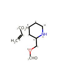 C=CC(=O)O.O=COCC1CCCCN1